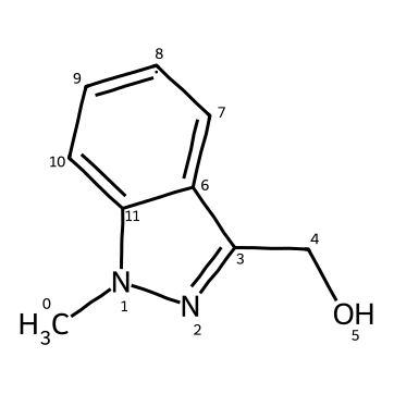 Cn1nc(CO)c2c[c]ccc21